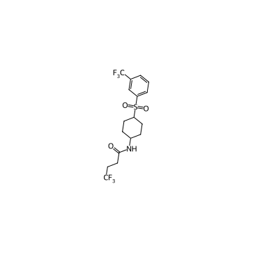 O=C(CCC(F)(F)F)NC1CCC(S(=O)(=O)c2cccc(C(F)(F)F)c2)CC1